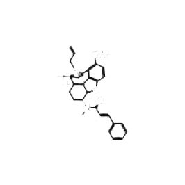 C=CCN1CC[C@@]23c4c5ccc(OC(C)=O)c4C[C@@H]1[C@@H]2CC[C@@H](N(C)C(=O)C=Cc1ccccc1)[C@@H]3O5